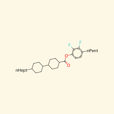 CCCCCCCC1CCC(C2CCC(C(=O)Oc3ccc(CCCCC)c(F)c3F)CC2)CC1